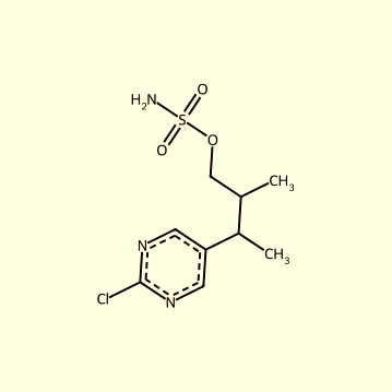 CC(COS(N)(=O)=O)C(C)c1cnc(Cl)nc1